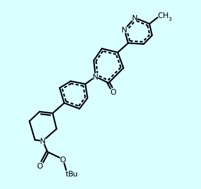 Cc1ccc(-c2ccn(-c3ccc(C4=CCCN(C(=O)OC(C)(C)C)C4)cc3)c(=O)c2)nn1